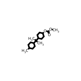 COC(=O)OC1CCC(C(C)(C)C2CCC(C)CC2)CC1